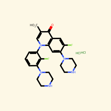 Cl.Cl.O=C(O)c1cn(-c2cccc(N3CCNCC3)c2F)c2cc(N3CCNCC3)c(F)cc2c1=O